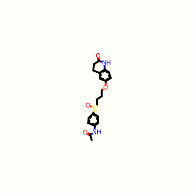 CC(=O)Nc1ccc([S+]([O-])CCCCOc2ccc3c(c2)CCC(=O)N3)cc1